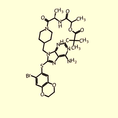 CC(OC(=O)C(C)(C)C)C(=O)N[C@H](C)C(=O)N1CCC(Cn2c(Sc3cc4c(cc3Br)OCCO4)nc3c(N)ncnc32)CC1